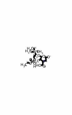 CCC(C)/C(=C\C(=O)[O-])C(=O)O.CCOP(=O)(O)OCC[N+](C)(CC)CC